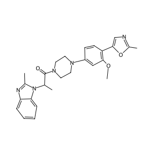 COc1cc(N2CCN(C(=O)C(C)n3c(C)nc4ccccc43)CC2)ccc1-c1cnc(C)o1